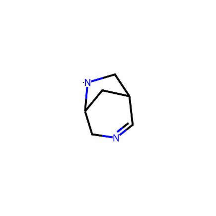 C1=NCC2CC1C[N]2